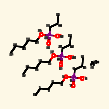 CCCCCOP(=O)([O-])CCC.CCCCCOP(=O)([O-])CCC.CCCCCOP(=O)([O-])CCC.[Al+3]